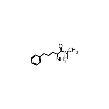 CNC(=O)C(N)CCCc1ccccc1